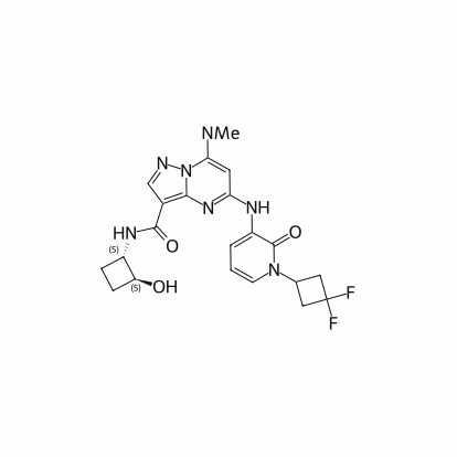 CNc1cc(Nc2cccn(C3CC(F)(F)C3)c2=O)nc2c(C(=O)N[C@H]3CC[C@@H]3O)cnn12